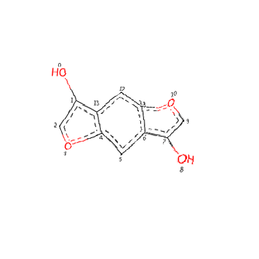 Oc1coc2cc3c(O)coc3cc12